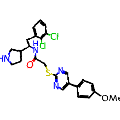 COc1ccc(-c2cnc(SCC(=O)NC(Cc3cccc(Cl)c3Cl)C3CCNC3)nc2)cc1